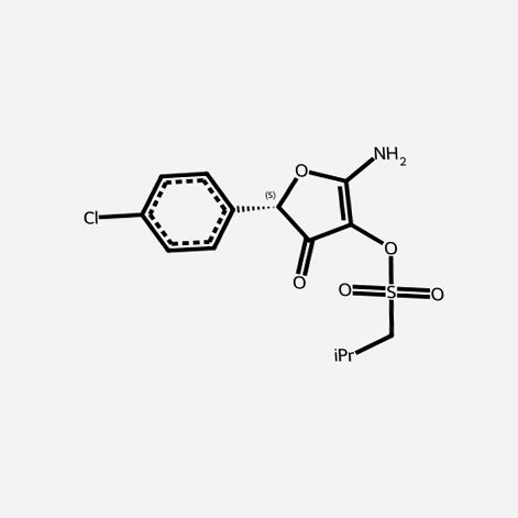 CC(C)CS(=O)(=O)OC1=C(N)O[C@@H](c2ccc(Cl)cc2)C1=O